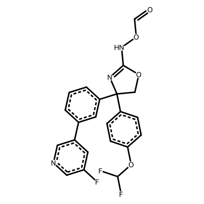 O=CONC1=NC(c2ccc(OC(F)F)cc2)(c2cccc(-c3cncc(F)c3)c2)CO1